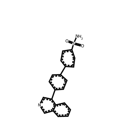 NS(=O)(=O)c1ccc(-c2ccc(-c3cncc4ccccc34)cc2)cc1